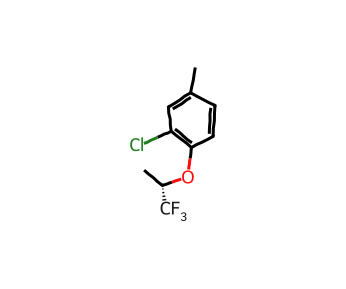 Cc1ccc(O[C@@H](C)C(F)(F)F)c(Cl)c1